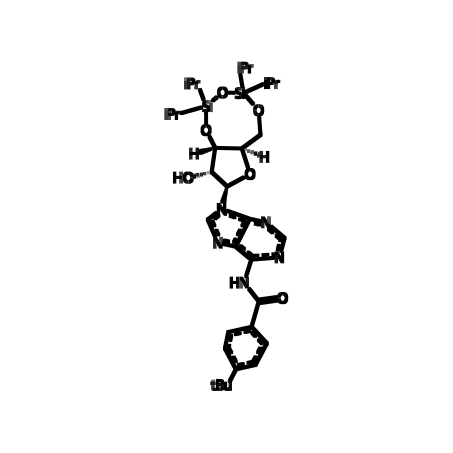 CC(C)[Si]1(C(C)C)OC[C@H]2O[C@@H](n3cnc4c(NC(=O)c5ccc(C(C)(C)C)cc5)ncnc43)[C@H](O)[C@@H]2O[Si](C(C)C)(C(C)C)O1